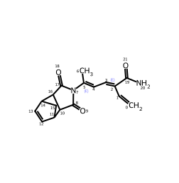 C=C/C(=C\C=C(/C)N1C(=O)C2C3C=CC(C3)C2C1=O)C(N)=O